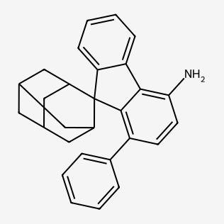 Nc1ccc(-c2ccccc2)c2c1-c1ccccc1C21C2CC3CC(C2)CC1C3